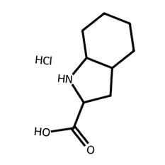 Cl.O=C(O)C1CC2CCCCC2N1